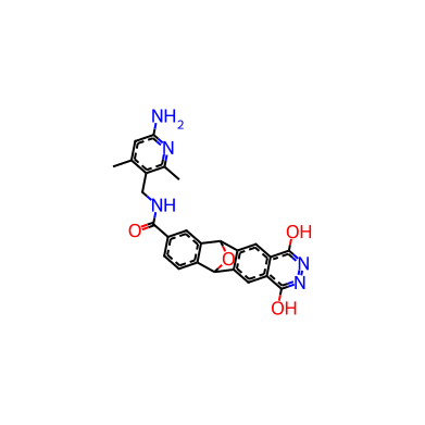 Cc1cc(N)nc(C)c1CNC(=O)c1ccc2c(c1)C1OC2c2cc3c(O)nnc(O)c3cc21